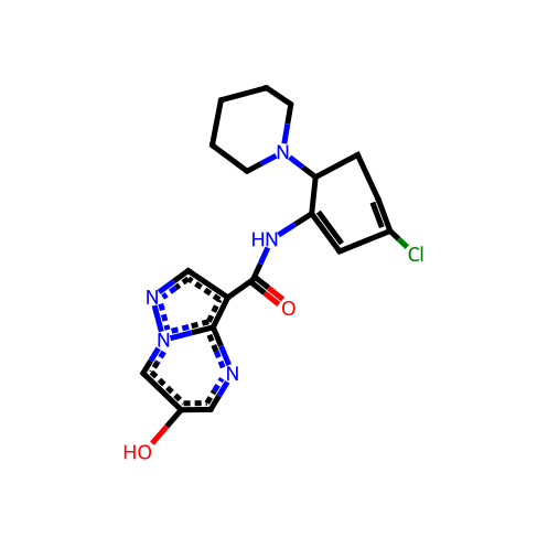 O=C(NC1=CC(Cl)=CCC1N1CCCCC1)c1cnn2cc(O)cnc12